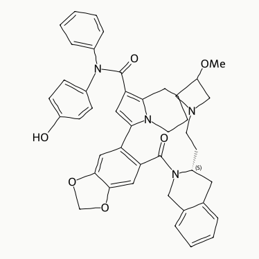 COC1CN(CC[C@@H]2Cc3ccccc3CN2C(=O)c2cc3c(cc2-c2cc(C(=O)N(c4ccccc4)c4ccc(O)cc4)c4n2CCCC4)OCO3)C1